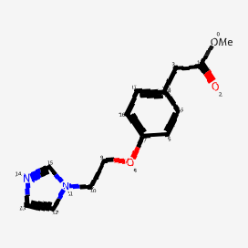 COC(=O)Cc1ccc(OCCn2ccnc2)cc1